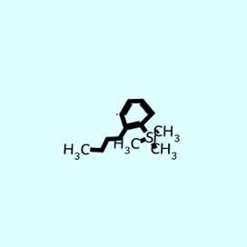 CCCCc1[c]cccc1[Si](C)(C)C